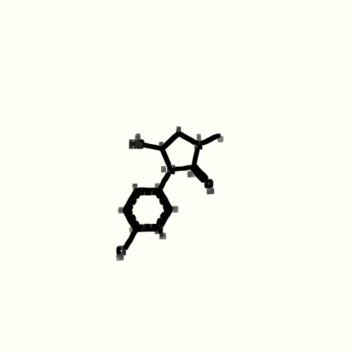 CN1CC(O)N(c2ccc(Cl)nc2)C1=O